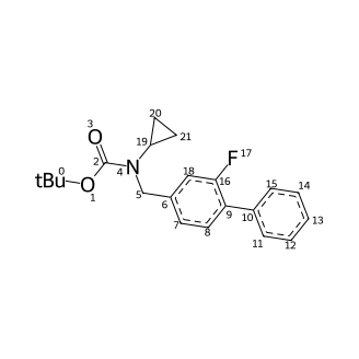 CC(C)(C)OC(=O)N(Cc1ccc(-c2ccccc2)c(F)c1)C1CC1